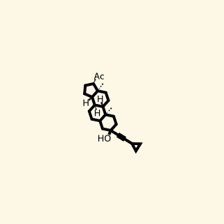 CC(=O)[C@H]1CC[C@H]2[C@@H]3CCC4CC(O)(C#CC5CC5)CC[C@]4(C)[C@H]3CC[C@]12C